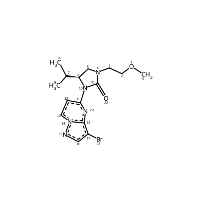 COCCN1C[C@H](C(C)C)N(c2ccn3ncc(Br)c3n2)C1=O